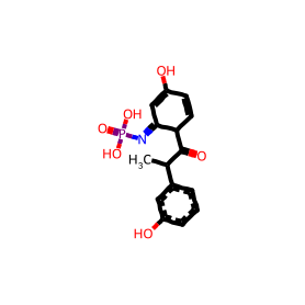 CC(C(=O)C1C=CC(O)=CC1=NP(=O)(O)O)c1cccc(O)c1